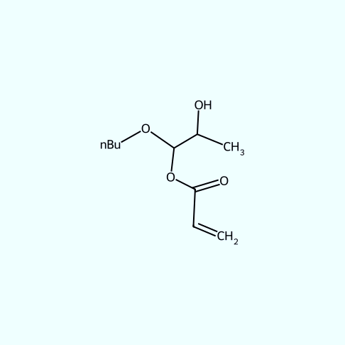 C=CC(=O)OC(OCCCC)C(C)O